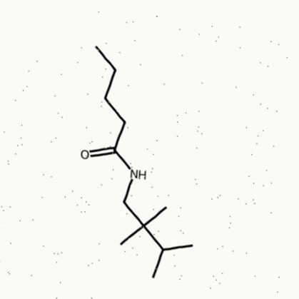 CCCCC(=O)NCC(C)(C)C(C)C